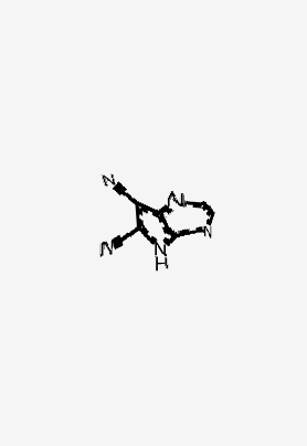 N#Cc1[nH]c2nccnc2c1C#N